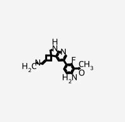 C=NC=C1CC2(CNc3ncc(-c4ccc(N)c(C(C)=O)c4F)cc32)C1